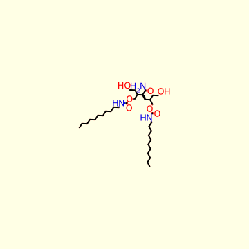 CCCCCCCCCCCNC(=O)OCC(C=C(C(N)=O)C(CCO)COC(=O)NCCCCCCCCCCC)CCO